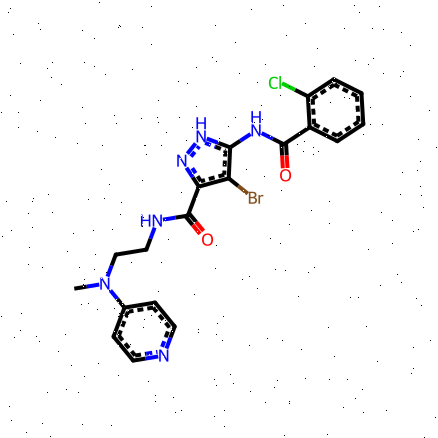 CN(CCNC(=O)c1n[nH]c(NC(=O)c2ccccc2Cl)c1Br)c1ccncc1